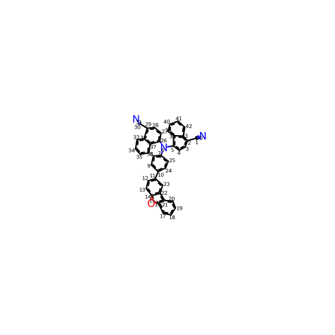 N#Cc1ccc(N(c2ccc(-c3ccc4oc5ccccc5c4c3)cc2)c2ccc(C#N)c3ccccc23)c2ccccc12